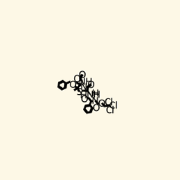 CC1(C)S[C@@H]2[C@H](NC(=O)C(NC(=O)OCC(Cl)(Cl)Cl)c3ccccc3)C(=O)N2[C@@]1(NC=O)C(=O)OCc1ccccc1